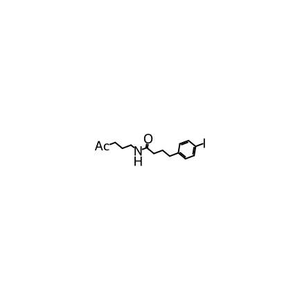 CC(=O)CCCNC(=O)CCCc1ccc(I)cc1